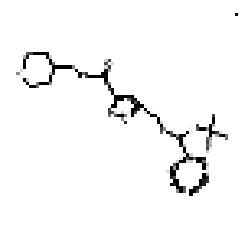 O=C(NCC1CCOCC1)c1cc(COC(OC(F)(F)F)c2ccccc2)on1